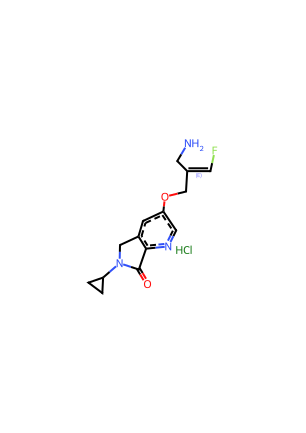 Cl.NC/C(=C\F)COc1cnc2c(c1)CN(C1CC1)C2=O